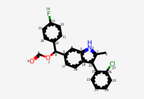 Cc1[nH]c2cc(C(OC=O)c3ccc(F)cc3)ccc2c1-c1ccccc1Cl